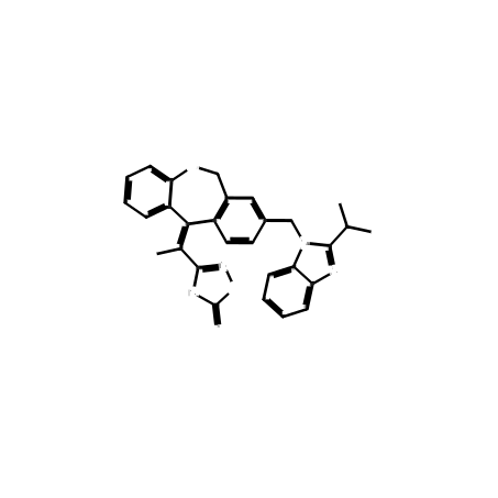 CC(=C1c2ccc(Cn3c(C(C)C)nc4ccccc43)cc2COc2ccccc21)c1noc(=O)[nH]1